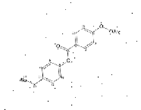 CCCCCCCCCCOc1ccc(C(=O)Oc2ccc(CC(C)CC)cc2)cc1